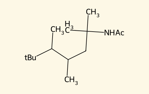 CC(=O)NC(C)(C)CC(C)C(C)C(C)(C)C